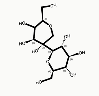 OC[C@H]1OC[C@@](O)([C@@H]2O[C@H](CO)[C@@H](O)[C@H](O)[C@H]2O)[C@@H](O)[C]1O